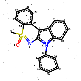 CS1(=O)=Nc2c(c3ccccc3n2-c2ccccc2)-c2ccccc21